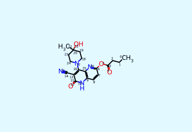 CCCC(=O)Oc1ccc2[nH]c(=O)c(C#N)c(N3CCC(C)(O)CC3)c2n1